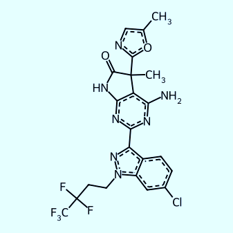 Cc1cnc(C2(C)C(=O)Nc3nc(-c4nn(CCC(F)(F)C(F)(F)F)c5cc(Cl)ccc45)nc(N)c32)o1